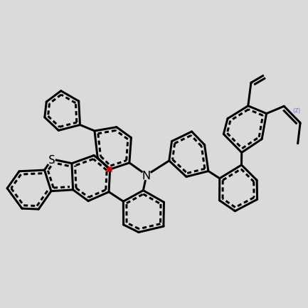 C=Cc1ccc(-c2ccccc2-c2cccc(N(c3ccc(-c4ccccc4)cc3)c3ccccc3-c3ccc4sc5ccccc5c4c3)c2)cc1/C=C\C